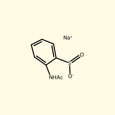 CC(=O)Nc1ccccc1S(=O)[O-].[Na+]